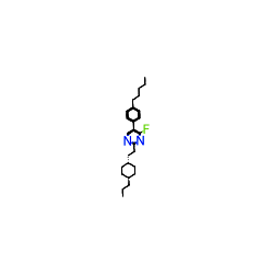 CCCCCc1ccc(-c2cnc(CC[C@H]3CC[C@H](CCC)CC3)nc2F)cc1